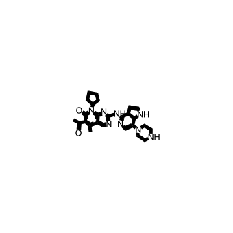 CC(=O)c1c(C)c2cnc(NC3=NC=C(N4CCNCC4)C4NC=CC34)nc2n(C2CCCC2)c1=O